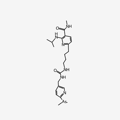 CNC(=O)c1ccc(CCCCNC(=O)NCc2ccc([As](C)C)nc2)nc1NC(C)C